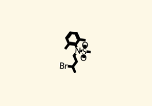 Cc1cccc(C)c1N(CCC(C)Br)S(C)(=O)=O